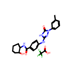 Cc1cccc(-n2nc(Nc3ccc(C(=O)NC4CCCCC4O)cc3)[nH]c2=O)c1.O=C(O)C(F)(F)F